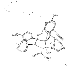 COC(=O)[C@@H]1[C@@H](c2ccccc2)[C@]2(c3ccc(OC)cc3)Oc3cc(OC)cc(OC)c3[C@@]23Nc2cnnn2[C@@]13O